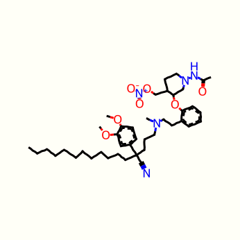 CCCCCCCCCCCCC(C#N)(CCCN(C)CCc1ccccc1OC1CN(NC(C)=O)CCC1CO[N+](=O)[O-])c1ccc(OC)c(OC)c1